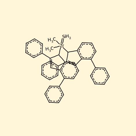 [CH3][Zr]([CH3])(=[SiH2])([CH]1C(c2ccccc2)=Cc2c(-c3ccccc3)cccc21)[CH]1C(c2ccccc2)=Cc2c(-c3ccccc3)cccc21